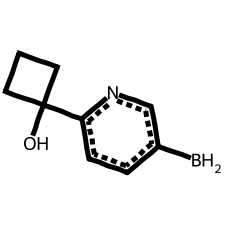 Bc1ccc(C2(O)CCC2)nc1